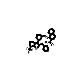 O=C(O)c1ccc2ccccc2c1OCc1cccc(-c2c(Cc3ccccc3)cnc3c(C(F)(F)F)cccc23)c1